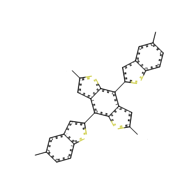 Cc1ccc2sc(-c3c4cc(C)sc4c(-c4cc5cc(C)ccc5s4)c4cc(C)sc34)cc2c1